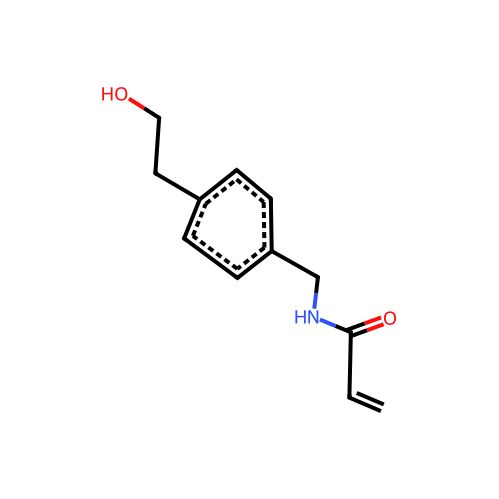 C=CC(=O)NCc1ccc(CCO)cc1